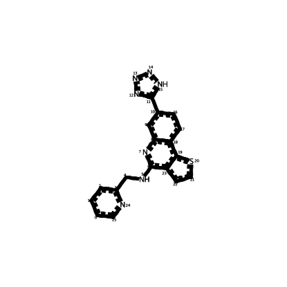 c1ccc(CNc2nc3cc(-c4nnn[nH]4)ccc3c3sccc23)nc1